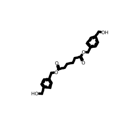 O=C(CCCCC(=O)OCc1ccc(CO)cc1)OCc1ccc(CO)cc1